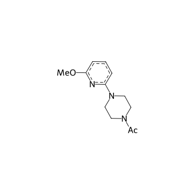 [CH2]C(=O)N1CCN(c2cccc(OC)n2)CC1